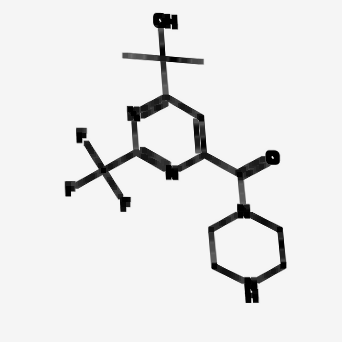 CC(C)(O)c1cc(C(=O)N2CCNCC2)nc(C(F)(F)F)n1